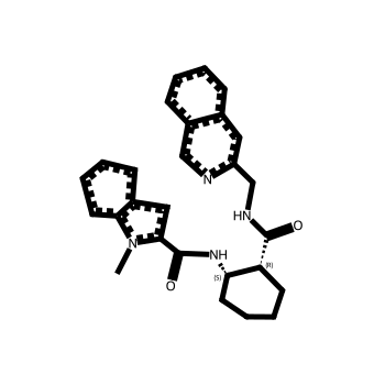 Cn1c(C(=O)N[C@H]2CCCC[C@H]2C(=O)NCc2cc3ccccc3cn2)cc2ccccc21